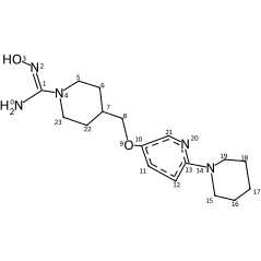 N/C(=N\O)N1CCC(COc2ccc(N3CCCCC3)nc2)CC1